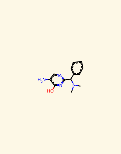 CN(C)C(c1ccccc1)c1ncc(N)c(O)n1